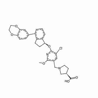 COc1nc(O[C@H]2CCc3c(-c4ccc5c(c4)OCCO5)cccc32)c(Cl)cc1CN1CC[C@@H](C(=O)O)C1